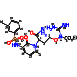 CCOC(=O)N(OCCC(C(N)=O)n1c(C)ccc(NS(=O)(=O)c2cccc(C)c2)c1=O)C(=N)N